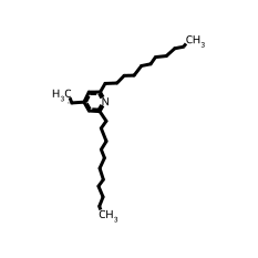 C[CH]c1cc(CCCCCCCCCCC)nc(CCCCCCCCCCC)c1